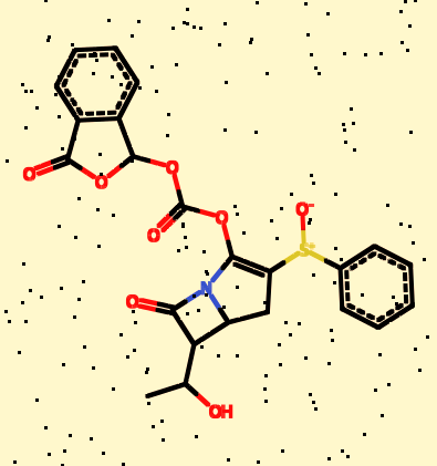 CC(O)C1C(=O)N2C(OC(=O)OC3OC(=O)c4ccccc43)=C([S+]([O-])c3ccccc3)CC12